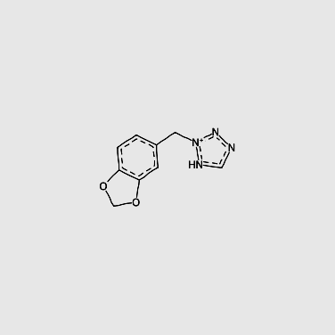 c1nn[n+](Cc2ccc3c(c2)OCO3)[nH]1